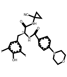 N#CC1(NC(=O)[C@H](Cc2cc(I)c(O)c(I)c2)NC(=O)c2ccc(N3CCOCC3)cc2)CC1